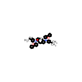 Cc1c2ccc(N(c3ccc(C(C)C)cc3)c3cccc4c3oc3ccccc34)c1ccc1ccc(N(c3ccc(C(C)C)cc3)c3cccc4c3oc3ccccc34)c(cc2)c1